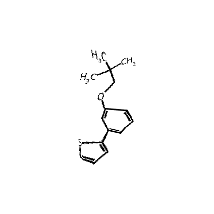 CC(C)(C)COc1cccc(-c2cccs2)c1